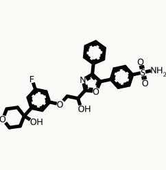 NS(=O)(=O)c1ccc(-c2oc(C(O)COc3cc(F)cc(C4(O)CCOCC4)c3)nc2-c2ccccc2)cc1